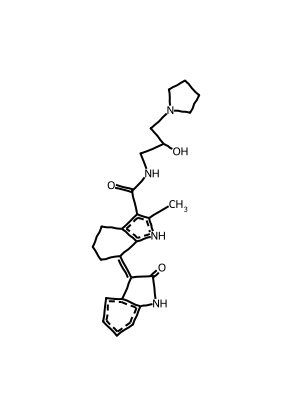 Cc1[nH]c2c(c1C(=O)NCC(O)CN1CCCC1)CCC/C2=C1/C(=O)Nc2ccccc21